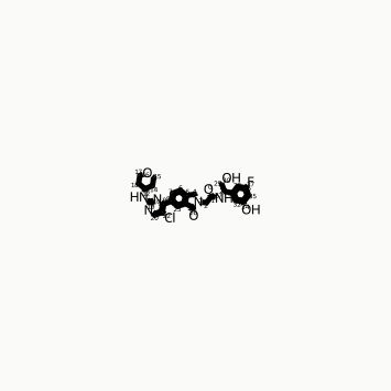 O=C(CN1Cc2ccc(-c3nc(NC4CCOCC4)ncc3Cl)cc2C1=O)NC(CO)c1cc(O)cc(F)c1